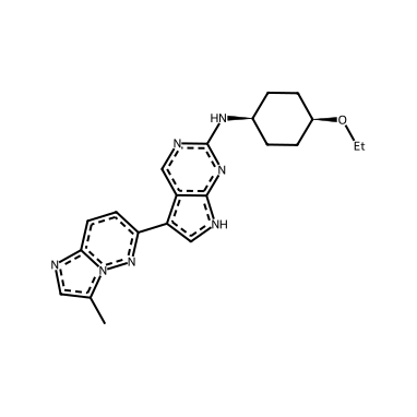 CCO[C@H]1CC[C@@H](Nc2ncc3c(-c4ccc5ncc(C)n5n4)c[nH]c3n2)CC1